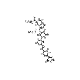 COCCn1c(Cc2cc(F)c(-c3cccc(OCc4ccc(-c5cncn5C)cc4F)n3)cc2F)nc2ccc(C(=O)OC(C)(C)C)cc21